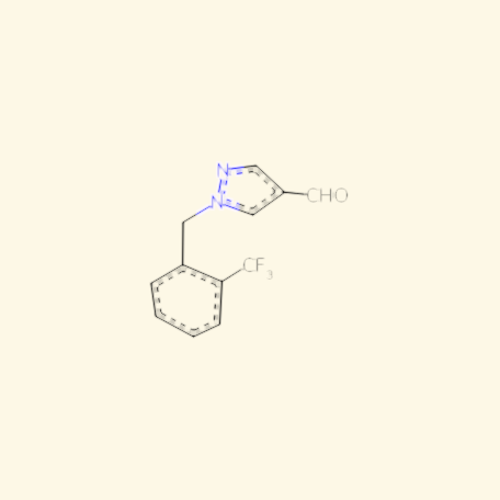 O=Cc1cnn(Cc2ccccc2C(F)(F)F)c1